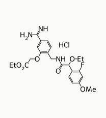 CCOC(=O)COc1cc(C(=N)N)ccc1CNC(=O)C(OCC)c1ccc(OC)cc1F.Cl